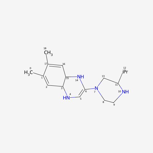 CC1=CC2NC=C(N3CCNC(C(C)C)C3)NC2C=C1C